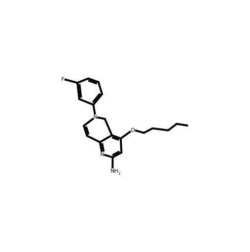 CCCCCOc1cc(N)nc2c1CN(c1cccc(F)c1)C=C2